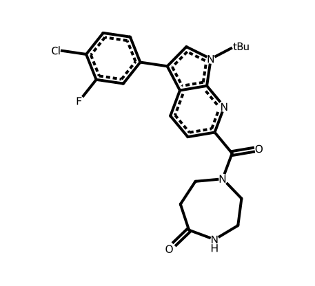 CC(C)(C)n1cc(-c2ccc(Cl)c(F)c2)c2ccc(C(=O)N3CCNC(=O)CC3)nc21